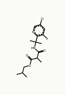 CC(C)COC(=O)C(C)C(=O)NC(C)(C)c1ncc(Cl)cc1F